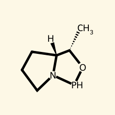 C[C@@H]1OPN2CCC[C@H]12